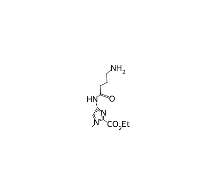 CCOC(=O)c1nc(NC(=O)CCCN)cn1C